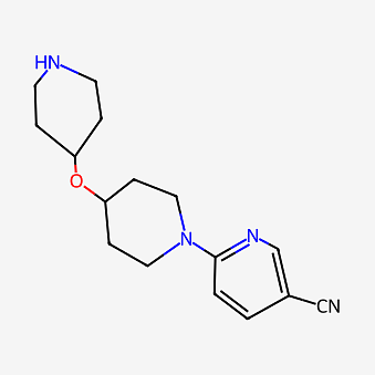 N#Cc1ccc(N2CCC(OC3CCNCC3)CC2)nc1